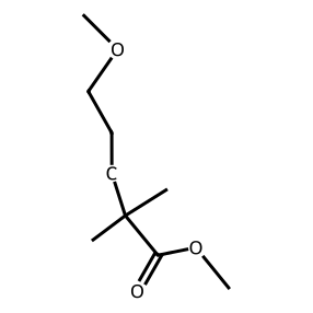 COCCCC(C)(C)C(=O)OC